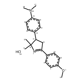 COc1ccc(C2=NC(C)(C)C(c3ccc(N(C)C)cc3)C2)cc1.Cl